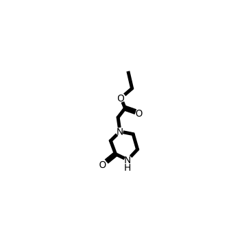 CCOC(=O)CN1CCNC(=O)C1